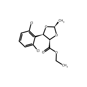 CCOC(=O)[C@@H]1O[C@H](C)O[C@@H]1c1c(Cl)cccc1Cl